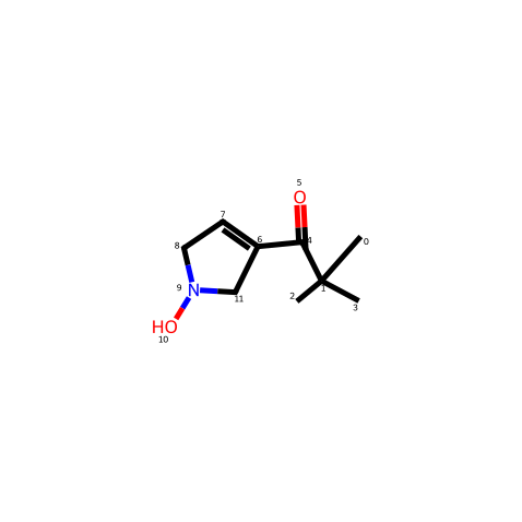 CC(C)(C)C(=O)C1=CCN(O)C1